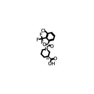 O=C(O)[C@H]1CCCN(S(=O)(=O)c2cccc(Cl)c2C(F)(F)F)C1